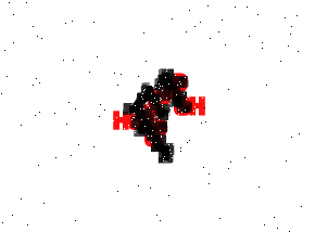 C=C(C)C(=O)O.C=C(C)C(=O)OCC.C=C(C)C(=O)OCCCC.C=C(C)C(=O)OCCO